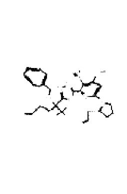 C=CCCC(OCc1ccccc1)(c1nnc(-c2nc(N3CCC[C@H]3CC=C)cc(OC)c2[N+](=O)[O-])o1)C(F)(F)F